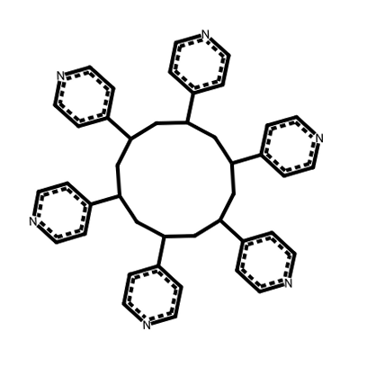 c1cc(C2CC(c3ccncc3)CC(c3ccncc3)CC(c3ccncc3)CC(c3ccncc3)CC(c3ccncc3)C2)ccn1